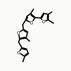 Cc1ccc(Cc2oc(Cc3cc(C)c(-c4cc(C)c(C)o4)o3)cc2C)o1